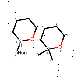 CCCCCCCCC[SiH]1CCCCO1.C[Si]1(C)CCCCO1